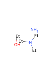 CCN(CC)CC.CCO.N